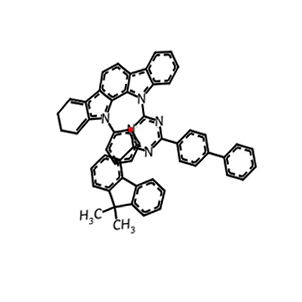 CC1(C)c2ccccc2-c2c(-c3nc(-c4ccc(-c5ccccc5)cc4)nc(-n4c5ccccc5c5ccc6c7c(n(-c8ccccc8)c6c54)=CCCC=7)n3)cccc21